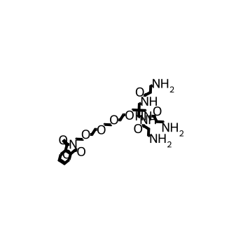 NCCC(=O)NCC(CNC(=O)CCN)(CNC(=O)CCN)COCCOCCOCCOCCN1C(=O)C2C3C=CC(O3)C2C1=O